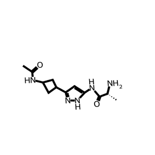 CC(=O)NC1CC(c2cc(NC(=O)[C@@H](C)N)[nH]n2)C1